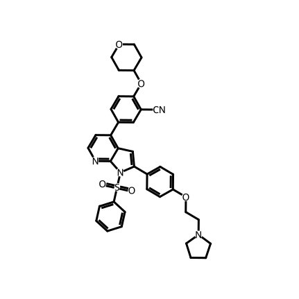 N#Cc1cc(-c2ccnc3c2cc(-c2ccc(OCCN4CCCC4)cc2)n3S(=O)(=O)c2ccccc2)ccc1OC1CCOCC1